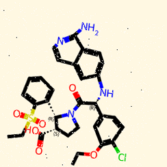 CCOc1cc([C@@H](Nc2ccc3c(N)nccc3c2)C(=O)N2CC[C@H](C(=O)O)[C@@H]2c2ccccc2S(=O)(=O)CC)ccc1Cl